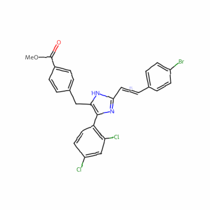 COC(=O)c1ccc(Cc2[nH]c(/C=C/c3ccc(Br)cc3)nc2-c2ccc(Cl)cc2Cl)cc1